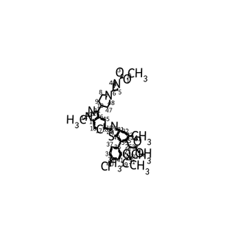 COC(=O)N1CC(N2CCC(c3nn(C)c4ccc(-c5nc6cc(C)c([C@H](OC(C)(C)C)C(=O)O)c(-c7ccc(Cl)cc7)c6s5)cc34)CC2)C1